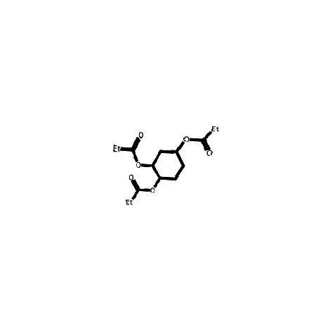 CCC(=O)OC1CCC(OC(=O)CC)C(OC(=O)CC)C1